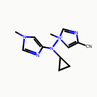 Cn1cnc(N(C2CC2)[N+]2(C)C=NC(C#N)=C2)c1